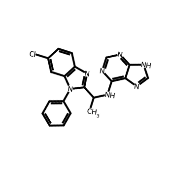 CC(Nc1ncnc2[nH]cnc12)c1nc2ccc(Cl)cc2n1-c1ccccc1